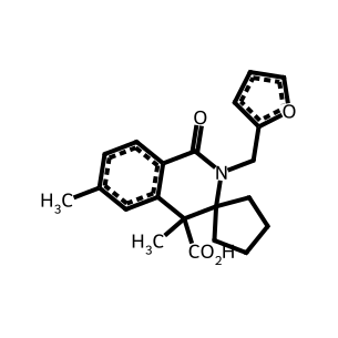 Cc1ccc2c(c1)C(C)(C(=O)O)C1(CCCC1)N(Cc1ccco1)C2=O